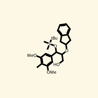 COc1cc(C(O[Si](C)(C)C(C)(C)C)C(CO)OC2Cc3ccccc3C2)cc(OC)c1C